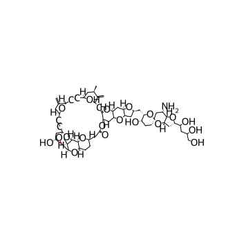 C=C1C[C@@H]2CC[C@]34C[C@@H](O)C(O3)[C@@H]3O[C@H]5CC[C@H](CC(=O)O[C@@H]6CC7OC8C[C@H](C[C@@H]9O[C@@]%10(CC[C@@H]9O)C[C@H](N)[C@@H]9O[C@H]([C@@H](O)C[C@@H](O)CO)C[C@@H]9O%10)O[C@@H]8C[C@@H]7O[C@H]6C[C@H]6O[C@@H](CC[C@@H]1O2)C[C@@H](C)C6=C)O[C@@H]5[C@H](O4)[C@@H]3C